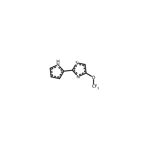 FC(F)(F)Oc1csc(-c2ccc[nH]2)n1